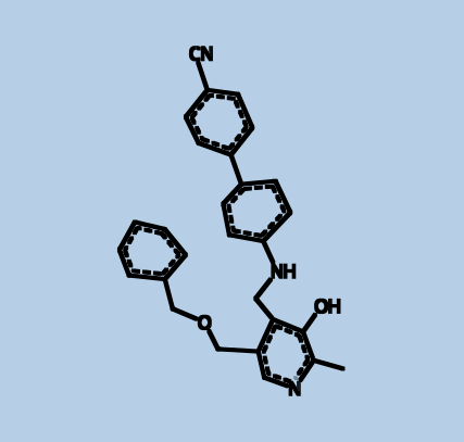 Cc1ncc(COCc2ccccc2)c(CNc2ccc(-c3ccc(C#N)cc3)cc2)c1O